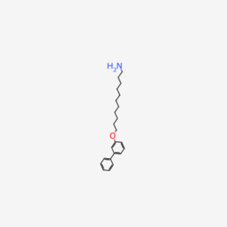 NCCCCCCCCCCCOc1cccc(-c2ccccc2)c1